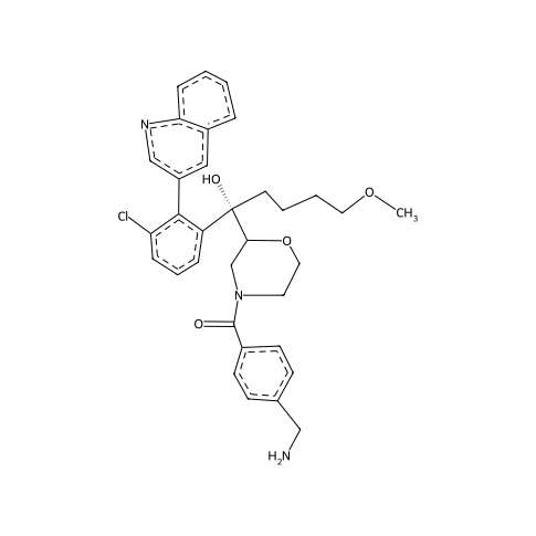 COCCCC[C@](O)(c1cccc(Cl)c1-c1cnc2ccccc2c1)C1CN(C(=O)c2ccc(CN)cc2)CCO1